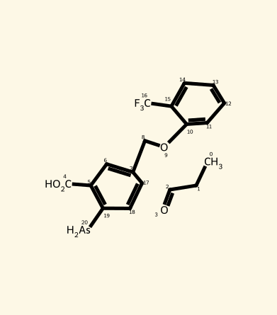 CCC=O.O=C(O)c1cc(COc2ccccc2C(F)(F)F)ccc1[AsH2]